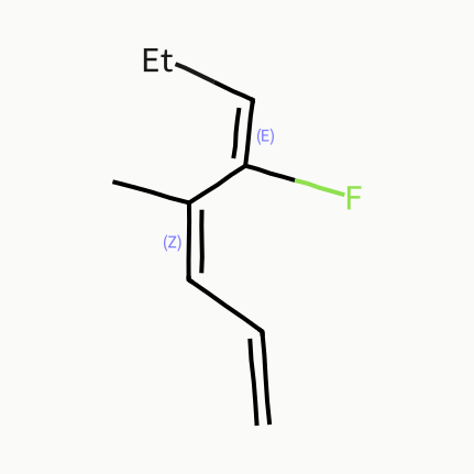 C=C/C=C(C)\C(F)=C/CC